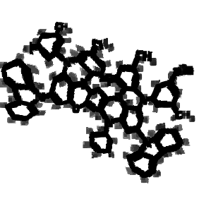 CCCCc1cc(C)cc(N2c3cc(C)cc(I)c3B3c4cc5c(cc4N(c4ccccc4)c4cc(-n6c7ccccc7c7ccccc76)cc2c43)Oc2cc(-n3c4ccccc4c4ccccc43)cc3c2B5c2c(CCCC)cc(C)cc2N3c2cc(C)cc(I)c2)c1